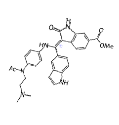 COC(=O)c1ccc2c(c1)NC(=O)/C2=C(\Nc1ccc(N(CCN(C)C)C(C)=O)cc1)c1ccc2[nH]ccc2c1